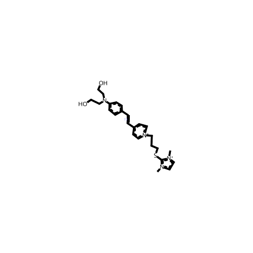 Cn1cc[n+](C)c1SCCC[n+]1ccc(/C=C/c2ccc(N(CCO)CCO)cc2)cc1